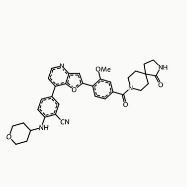 COc1cc(C(=O)N2CCC3(CCNC3=O)CC2)ccc1-c1cc2nccc(-c3ccc(NC4CCOCC4)c(C#N)c3)c2o1